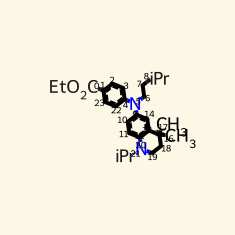 CCOC(=O)c1ccc(N(CCC(C)C)c2ccc3c(c2)C(C)(C)CCN3C(C)C)cc1